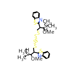 COC(C(CSSSSSCC(c1nc2ccccc2s1)C(OC)[SiH](C)C)c1nc2ccccc2s1)[SiH](C)C